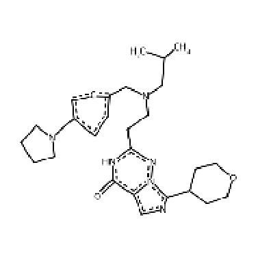 CC(C)CN(CCc1nn2c(C3CCOCC3)ncc2c(=O)[nH]1)Cc1ccc(N2CCCC2)cc1